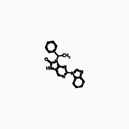 CC(c1ccccc1)n1c(=O)[nH]c2cnc(-n3cnc4ccccc43)nc21